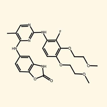 COCCOc1ccc(Nc2ncc(C)c(Nc3ccc4oc(=O)[nH]c4c3)n2)c(F)c1OCCOC